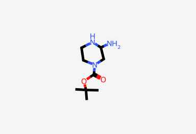 CC(C)(C)OC(=O)N1CCNC(N)C1